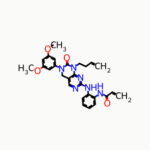 C=CCCN1C(=O)N(c2cc(OC)cc(OC)c2)Cc2cnc(Nc3ccccc3NC(=O)C=C)nc21